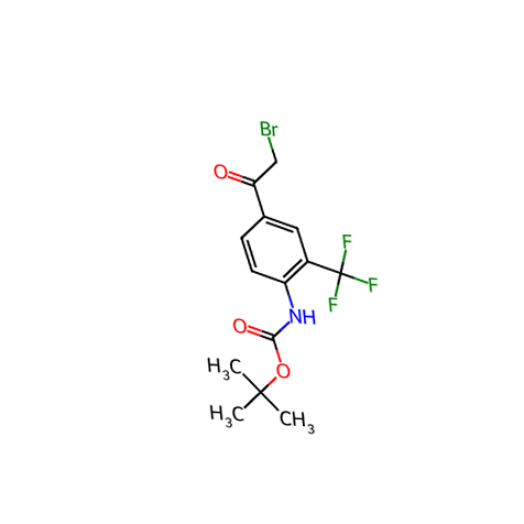 CC(C)(C)OC(=O)Nc1ccc(C(=O)CBr)cc1C(F)(F)F